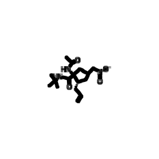 C=CC[C@H]1CC(C[N+](=O)[O-])C[C@@]1(NC(C)=O)C(=O)NC(C)(C)C